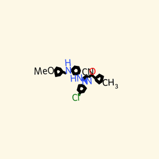 COc1ccc(CNc2cccc(Nc3c(C#N)c(C(=O)c4ccc(C)cc4)nn3-c3ccc(Cl)cc3)c2)cc1